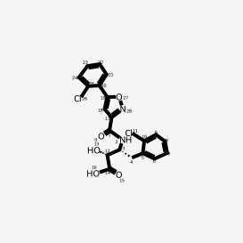 O=C(N[C@H](Cc1ccccc1Cl)[C@@H](O)C(=O)O)c1cc(-c2ccccc2Cl)on1